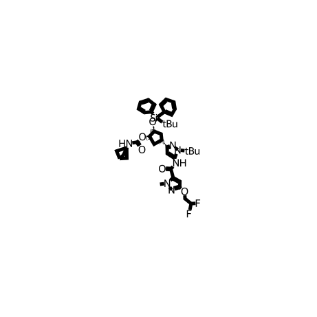 Cn1nc(OCC(F)F)cc1C(=O)Nc1cc([C@@H]2C[C@H](OC(=O)NC34CC(C3)C4)[C@H](O[Si](c3ccccc3)(c3ccccc3)C(C)(C)C)C2)nn1C(C)(C)C